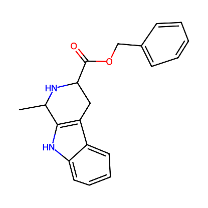 CC1NC(C(=O)OCc2ccccc2)Cc2c1[nH]c1ccccc21